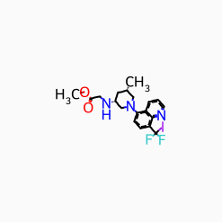 COC(=O)CN[C@@H]1C[C@H](C)CN(c2ccc(C(F)(F)I)c3ncccc23)C1